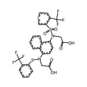 O=C(O)CN(Sc1ccccc1C(F)(F)F)c1ccc(N(CC(=O)O)S(=O)(=O)c2ccccc2C(F)(F)F)c2ccccc12